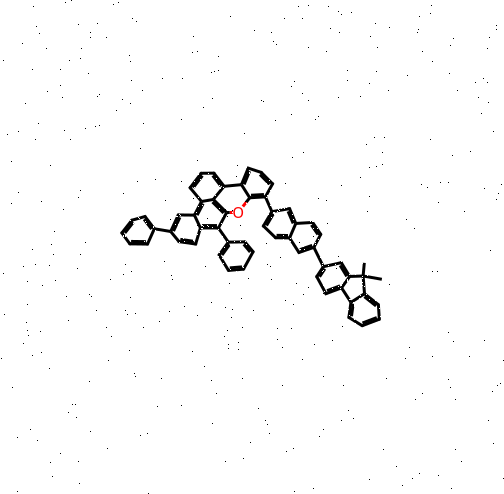 CC1(C)c2ccccc2-c2ccc(-c3ccc4cc(-c5cccc6c5Oc5c(-c7ccccc7)c7ccc(-c8ccccc8)cc7c7cccc-6c57)ccc4c3)cc21